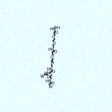 O=C(CCOCCOCCNC(=O)CCOCCOCCNC(=O)[C@H](CCCNC(=O)CBr)NC(=O)CBr)NO